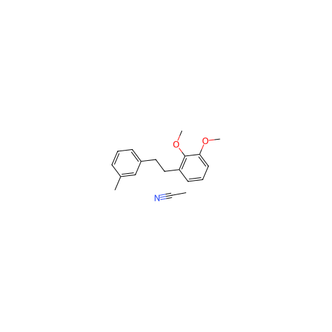 CC#N.COc1cccc(CCc2cccc(C)c2)c1OC